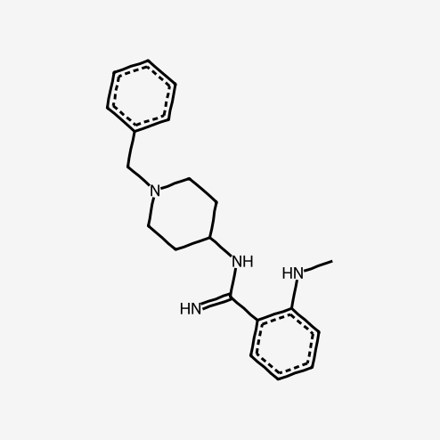 CNc1ccccc1C(=N)NC1CCN(Cc2ccccc2)CC1